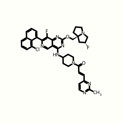 Cc1nccc(/C=C/C(=O)N2CCC(Nc3nc(OC[C@@]45CCCN4C[C@H](F)C5)nc4c(F)c(-c5cccc6cccc(Cl)c56)ncc34)CC2)n1